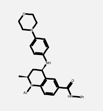 CC(=O)N1c2ccc(C(=O)NC(C)C)cc2[C@H](Nc2ccc(N3CCOCC3)cc2)C[C@@H]1C